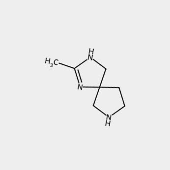 CC1=NC2(CCNC2)CN1